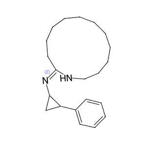 c1ccc(C2CC2/N=C2/CCCCCCCCCCCN2)cc1